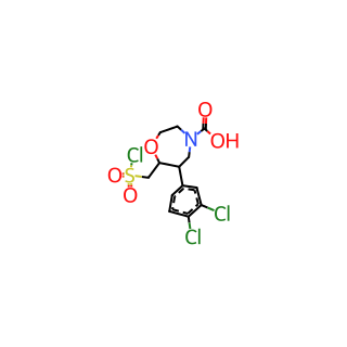 O=C(O)N1CCOC(CS(=O)(=O)Cl)C(c2ccc(Cl)c(Cl)c2)C1